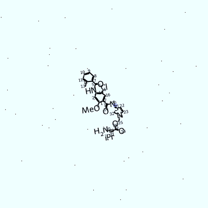 COc1cc(NC(=O)c2ccccc2C)c(Cl)cc1C(=O)/N=S1/C=CN(COC(=O)[C@@H](N)C(C)C)C1